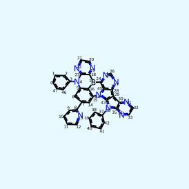 c1ccc(N2c3cc(-c4ccccn4)cc4c3B(c3nccnc32)c2ncnc3c5c6nccnc6n(-c6ccccc6)c5n-4c23)cc1